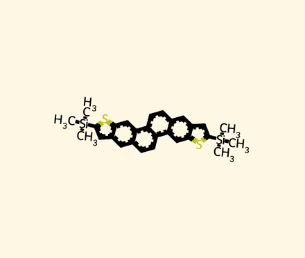 C[Si](C)(C)c1cc2cc3ccc4c5cc6sc([Si](C)(C)C)cc6cc5ccc4c3cc2s1